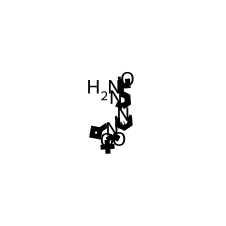 CC(C)(C)OC(=O)N(CC1CCC1)[C@@H]1CCCN(c2ccc(C3(N)COC3)nc2)C1